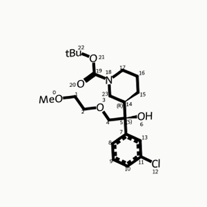 COCCOC[C@@](O)(c1cccc(Cl)c1)[C@@H]1CCCN(C(=O)OC(C)(C)C)C1